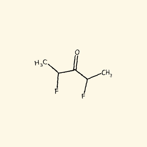 CC(F)C(=O)C(C)F